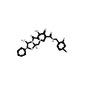 CC1[C@H](c2ccccc2)O[C@@H]2Cn3cc(C(=O)NCc4ccc(F)cc4F)c(=O)c(O)c3C(=O)N12